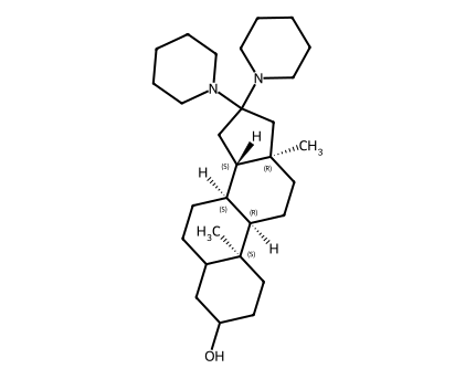 C[C@]12CC[C@@H]3[C@@H](CCC4CC(O)CC[C@@]43C)[C@@H]1CC(N1CCCCC1)(N1CCCCC1)C2